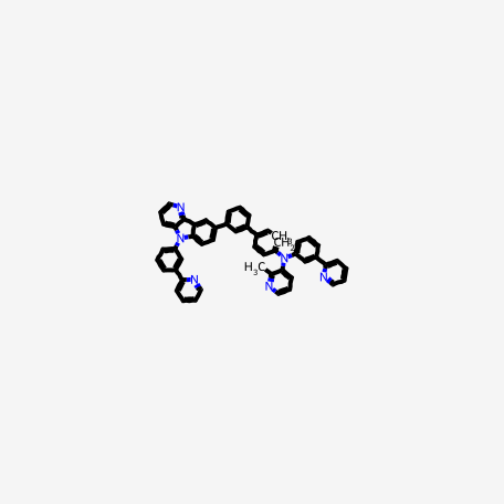 C=C(/C=C\C(=C/C)c1cccc(-c2ccc3c(c2)c2ncccc2n3-c2cccc(-c3ccccn3)c2)c1)N(c1cccc(-c2ccccn2)c1)c1cccnc1C